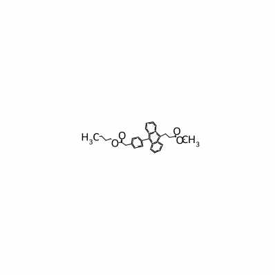 CCCCOC(=O)Cc1ccc(-c2c3ccccc3c(CCC(=O)OC)c3ccccc23)cc1